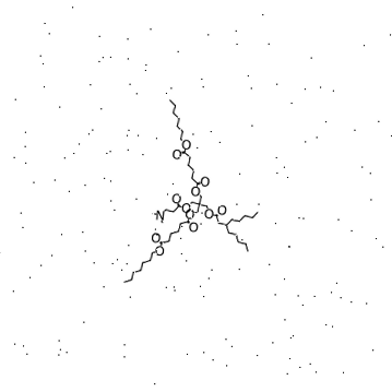 CCCCCCCOC(=O)CCCCC(=O)OCC(COC(=O)CCCCC(=O)OCCCCCCC)(COC(=O)CCN(C)C)COC(=O)CC(CCCCC)CCCCC